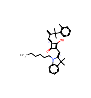 C=C(/C=C1/C(=O)C(/C=C2\N(CCCCCC(=O)O)c3ccccc3C2(C)C)=C1O)C(C)(C)c1ccccc1C